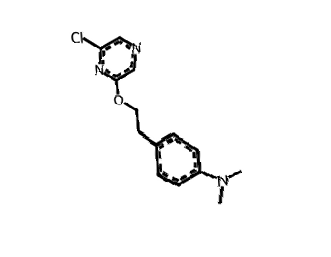 CN(C)c1ccc(CCOc2cncc(Cl)n2)cc1